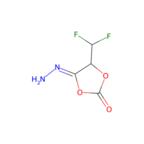 NN=C1OC(=O)OC1C(F)F